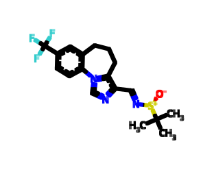 CC(C)(C)[S@+]([O-])/N=C/c1ncn2c1CCCc1cc(C(F)(F)F)ccc1-2